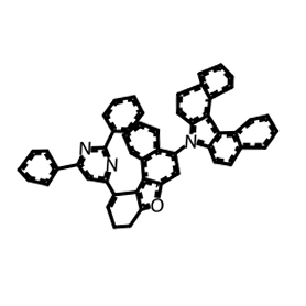 C1=C(c2cc(-c3ccccc3)nc(-c3ccccc3)n2)c2c(oc3cc(-n4c5ccc6ccccc6c5c5c6ccccc6ccc54)c4ccccc4c23)CC1